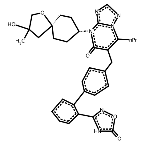 CCCc1c(Cc2ccc(-c3ccccc3-c3noc(=O)[nH]3)cc2)c(=O)n([C@H]2CC[C@]3(CC2)CC(C)(O)CO3)c2ncnn12